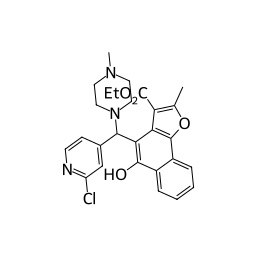 CCOC(=O)c1c(C)oc2c1c(C(c1ccnc(Cl)c1)N1CCN(C)CC1)c(O)c1ccccc12